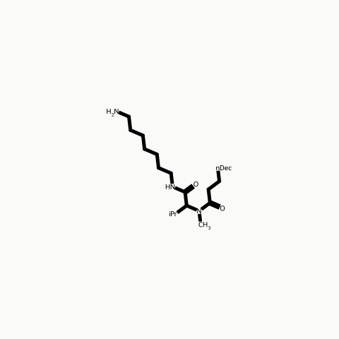 CCCCCCCCCCCCC(=O)N(C)C(C(=O)NCCCCCCCN)C(C)C